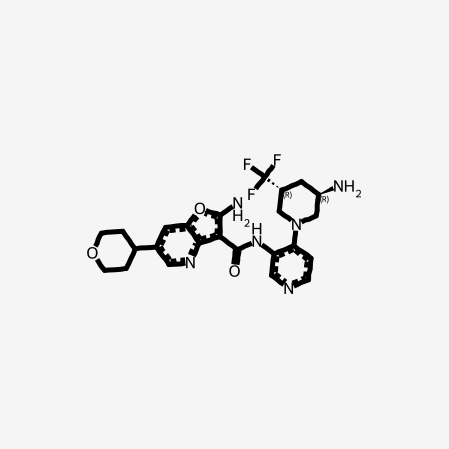 Nc1oc2cc(C3CCOCC3)cnc2c1C(=O)Nc1cnccc1N1C[C@H](N)C[C@@H](C(F)(F)F)C1